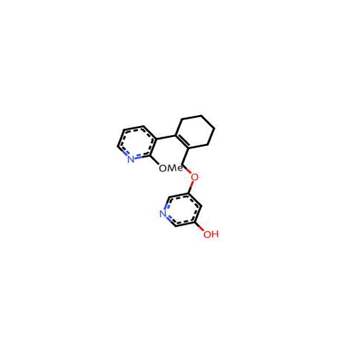 COc1ncccc1C1=C(COc2cncc(O)c2)CCCC1